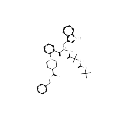 CC(C)(C)OC(=O)NC(C)(C)C(=O)N[C@H](Cc1c[nH]c2ccccc12)C(=O)c1ccccc1N1CCC(C(=O)OCc2ccccc2)CC1